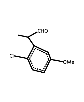 COc1ccc(Cl)c(C(C)C=O)c1